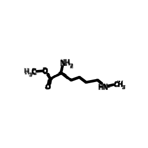 CNCCCCC(N)C(=O)OC